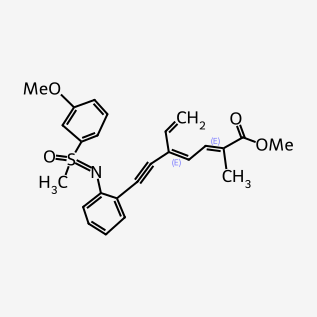 C=C/C(C#Cc1ccccc1N=S(C)(=O)c1cccc(OC)c1)=C\C=C(/C)C(=O)OC